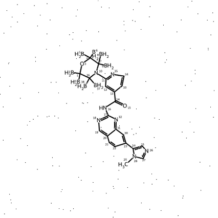 BC1(B)OC(B)(B)C(B)(B)N(c2cc(C(=O)Nc3ncc4ccc(-c5cncn5C)cc4n3)ccn2)C1(B)B